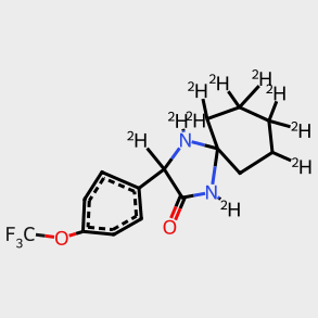 [2H]C1CC2(N([2H])C(=O)C([2H])(c3ccc(OC(F)(F)F)cc3)N2[2H])C([2H])([2H])C([2H])([2H])C1([2H])[2H]